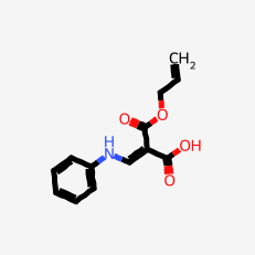 C=CCOC(=O)C(=CNc1ccccc1)C(=O)O